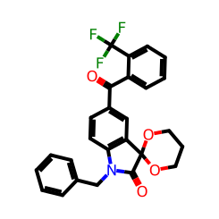 O=C(c1ccc2c(c1)C1(OCCCO1)C(=O)N2Cc1ccccc1)c1ccccc1C(F)(F)F